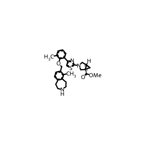 COC(=O)[C@]12C[C@H]1CN(c1nc(-c3cccc(C)c3OCc3ccc4c(c3C)CCNCC4)cs1)C2